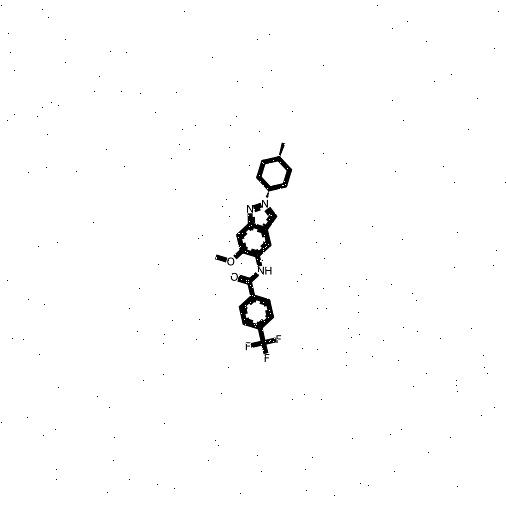 COc1cc2nn([C@H]3CC[C@H](C)CC3)cc2cc1NC(=O)c1ccc(C(F)(F)F)cc1